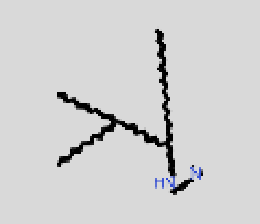 C=C(CCCN(C)C)NCCCCCC(CCCCCCCCCCCCCCCCCC)CCCCCCCCC(CCCCCCCCCC)CCCCCCCCCCC